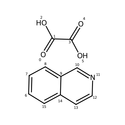 O=C(O)C(=O)O.c1ccc2cnccc2c1